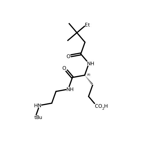 CCC(C)(C)CC(=O)N[C@H](CCC(=O)O)C(=O)NCCNC(C)(C)C